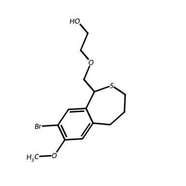 COc1cc2c(cc1Br)C(COCCO)SCCC2